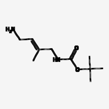 C/C(=C\CN)CNC(=O)OC(C)(C)C